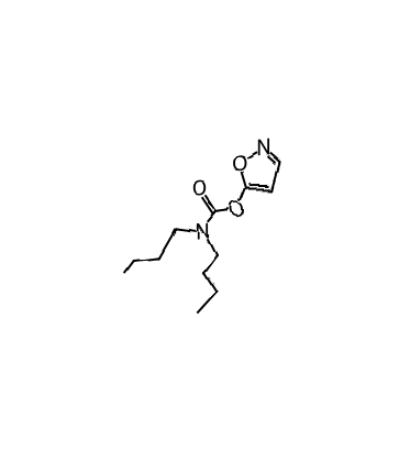 CCCCN(CCCC)C(=O)Oc1ccno1